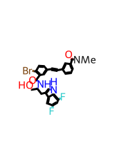 CNC(=O)c1cccc(C#Cc2ccc(Br)c(C(=O)NC(CO)Cc3c[nH]c4c(F)cc(F)cc34)c2)c1